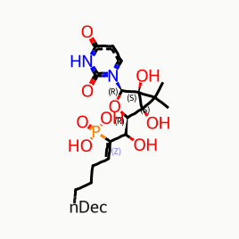 CCCCCCCCCCCCC/C=C(/C(O)[C@H]1O[C@@H](n2ccc(=O)[nH]c2=O)[C@]2(O)C(C)(C)[C@]12O)P(=O)(O)O